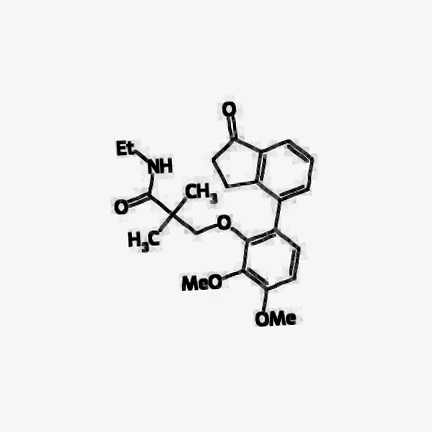 CCNC(=O)C(C)(C)COc1c(-c2cccc3c2CCC3=O)ccc(OC)c1OC